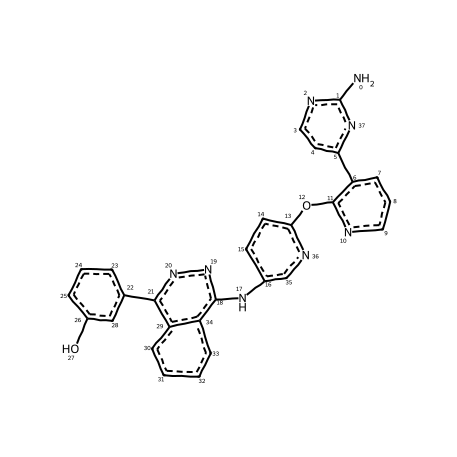 Nc1nccc(-c2cccnc2Oc2ccc(Nc3nnc(-c4cccc(O)c4)c4ccccc34)cn2)n1